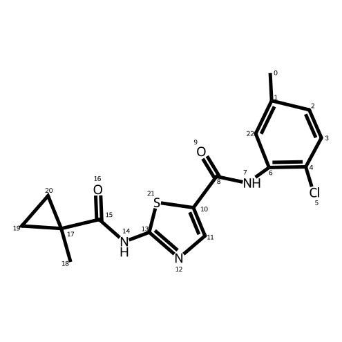 Cc1ccc(Cl)c(NC(=O)c2cnc(NC(=O)C3(C)CC3)s2)c1